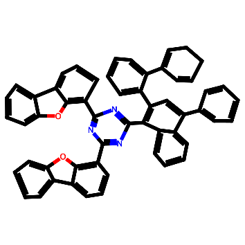 C1=CC(c2ccccc2-c2cc(-c3ccccc3)c3ccccc3c2-c2nc(-c3cccc4c3oc3ccccc34)nc(-c3cccc4c3oc3ccccc34)n2)=CCC1